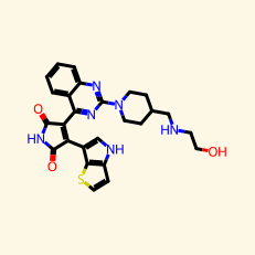 O=C1NC(=O)C(c2c[nH]c3ccsc23)=C1c1nc(N2CCC(CNCCO)CC2)nc2ccccc12